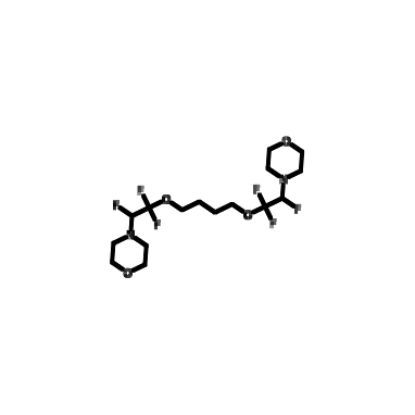 FC(N1CCOCC1)C(F)(F)OCCCCOC(F)(F)C(F)N1CCOCC1